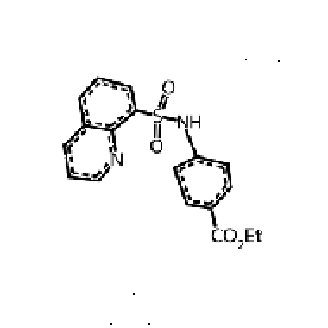 CCOC(=O)c1ccc(NS(=O)(=O)c2cccc3cccnc23)cc1